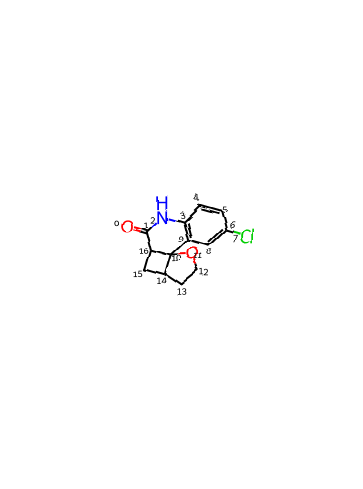 O=C1Nc2ccc(Cl)cc2C23OCCC2CC13